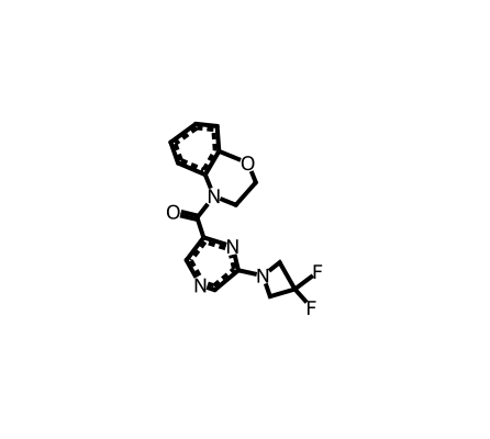 O=C(c1cncc(N2CC(F)(F)C2)n1)N1CCOc2ccccc21